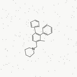 Cc1c(CN2CCCCC2)ccc(-c2ccccc2)c1-c1ccccc1